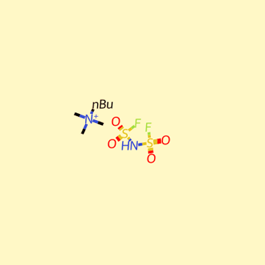 CCCC[N+](C)(C)C.O=S(=O)(F)NS(=O)(=O)F